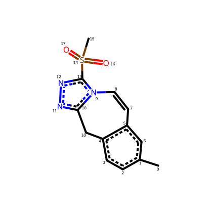 Cc1ccc2c(c1)C=Cn1c(nnc1S(C)(=O)=O)C2